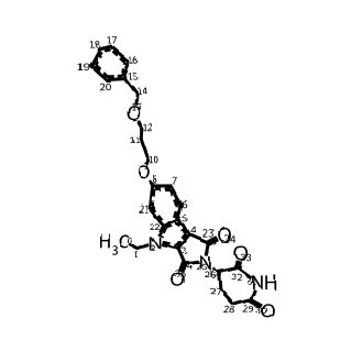 CCn1c2c(c3ccc(OCCCOCc4ccccc4)cc31)C(=O)N([C@H]1CCC(=O)NC1=O)C2=O